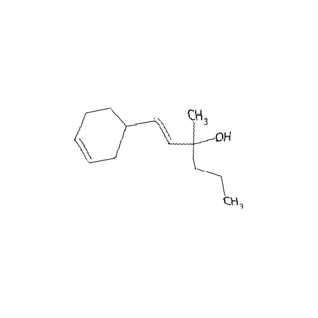 CCCC(C)(O)C=[C]C1CC=CCC1